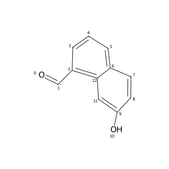 O=[C]c1cccc2ccc(O)cc12